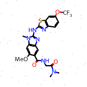 COc1cc2c(cc1C(=O)NCC(=O)N(C)C)nc(Nc1nc3ccc(OC(F)(F)F)cc3s1)n2C